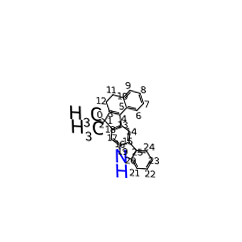 CC1(C)C2=C(c3ccccc3CC2)c2cc3c(cc21)[nH]c1ccccc13